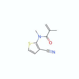 C=C(C)C(=O)N(C)c1sccc1C#N